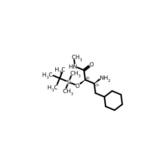 CNC(=O)[C@H](O[Si](C)(C)C(C)(C)C)[C@@H](N)CC1CCCCC1